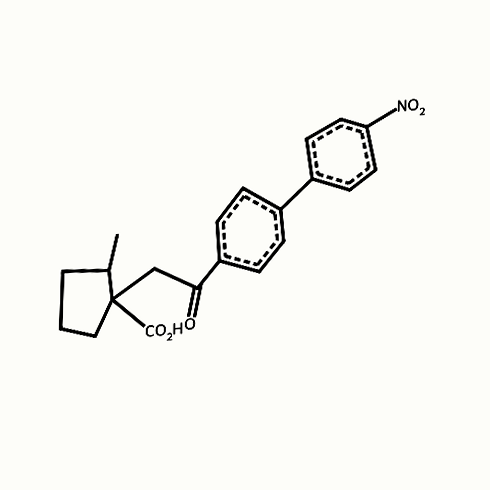 CC1CCCC1(CC(=O)c1ccc(-c2ccc([N+](=O)[O-])cc2)cc1)C(=O)O